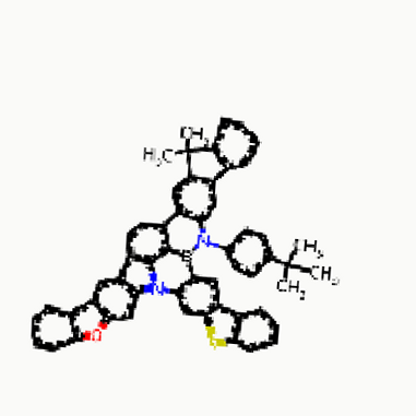 CC(C)(C)c1ccc(N2B3c4cc5c(cc4-n4c6cc7oc8ccccc8c7cc6c6ccc(c3c64)-c3cc4c(cc32)-c2ccccc2C4(C)C)sc2ccccc25)cc1